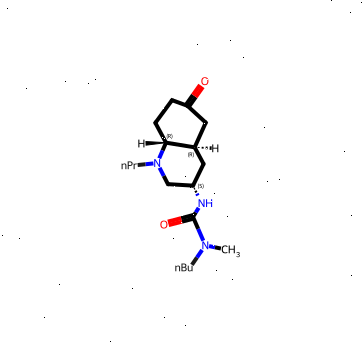 CCCCN(C)C(=O)N[C@H]1C[C@@H]2CC(=O)CC[C@H]2N(CCC)C1